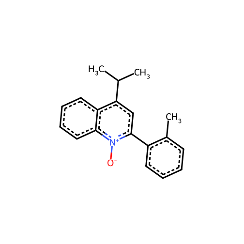 Cc1ccccc1-c1cc(C(C)C)c2ccccc2[n+]1[O-]